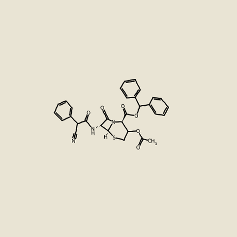 CC(=O)OC1CS[C@H]2[C@H](NC(=O)C(C#N)c3ccccc3)C(=O)N2[C@H]1C(=O)OC(c1ccccc1)c1ccccc1